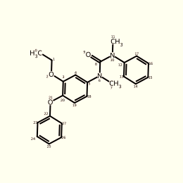 CCOc1cc(N(C)C(=O)N(C)c2ccccc2)ccc1Oc1ccccc1